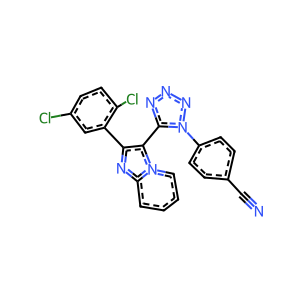 N#Cc1ccc(-n2nnnc2-c2c(-c3cc(Cl)ccc3Cl)nc3ccccn23)cc1